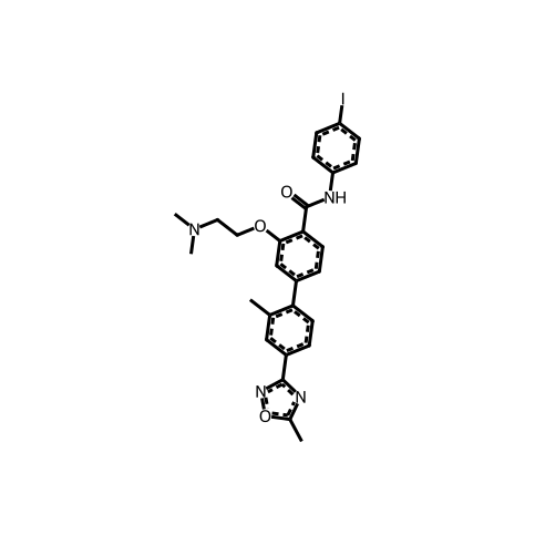 Cc1nc(-c2ccc(-c3ccc(C(=O)Nc4ccc(I)cc4)c(OCCN(C)C)c3)c(C)c2)no1